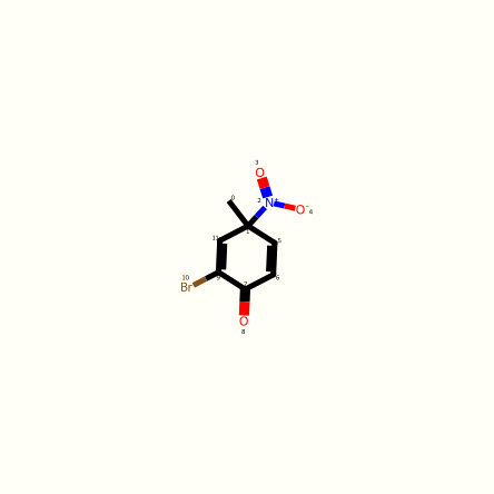 CC1([N+](=O)[O-])C=CC(=O)C(Br)=C1